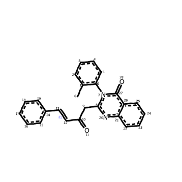 Cc1ccccc1-n1c(CC(=O)/C=C/c2ccccc2)nc2ccccc2c1=O